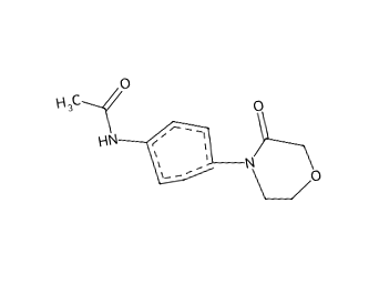 CC(=O)Nc1ccc(N2CCOCC2=O)cc1